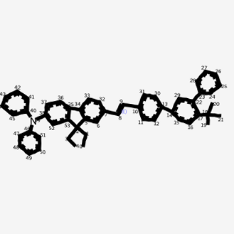 CCC1(CC)c2cc(/C=C/c3ccc(-c4ccc(C(C)(C)C)c(-c5ccccc5)c4)cc3)ccc2-c2ccc(N(c3ccccc3)c3ccccc3)cc21